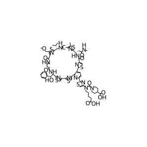 CNC(=O)C[C@@H]1NC(=O)c2csc(n2)-c2ccc(-c3nc(N(CCCCC(=O)O)C(=O)N4CCC(C(=O)O)CC4)cs3)nc2-c2csc(n2)-c2csc(n2)[C@H]([C@@H](O)c2ccccc2)NC(=O)CNC(=O)c2nc(sc2COC)[C@H](C(C)C)NCc2nc1sc2C